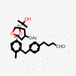 CC(=O)OC1C[C@@]2(c3ccc(C)c(Cc4ccc(CCCC=O)cc4)c3)OC[C@@](C(C)(C)O)(C1)O2